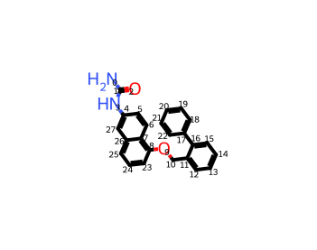 NC(=O)Nc1ccc2c(OCc3ccccc3-c3ccccc3)cccc2c1